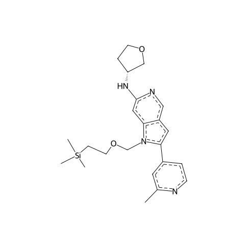 Cc1cc(-c2cc3cnc(N[C@@H]4CCOC4)cc3n2COCC[Si](C)(C)C)ccn1